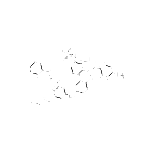 [C-]#[N+]c1ccc(CN(Cc2ccc(Oc3cc(OCCc4cccnc4)nc(SCCC)c3)cc2)c2cccc(NS(C)(=O)=O)c2C)cc1